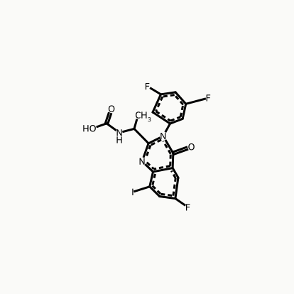 CC(NC(=O)O)c1nc2c(I)cc(F)cc2c(=O)n1-c1cc(F)cc(F)c1